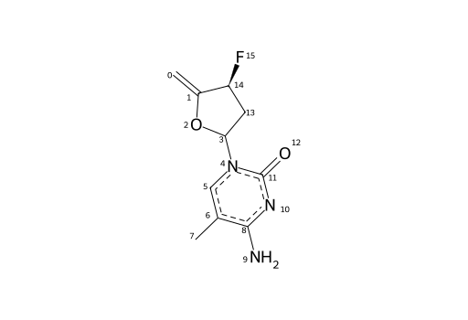 C=C1OC(n2cc(C)c(N)nc2=O)C[C@@H]1F